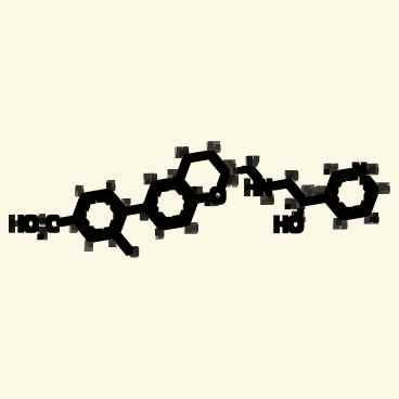 Cc1cc(C(=O)O)ccc1-c1ccc2c(c1)CC[C@H](CNC[C@@H](O)c1cccnc1)O2